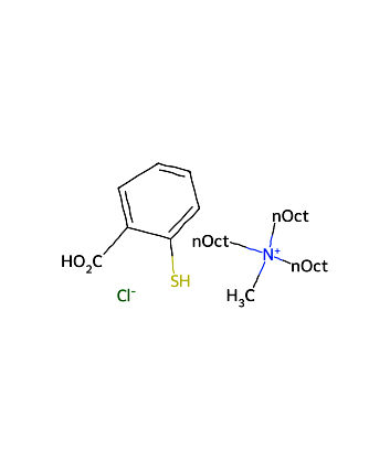 CCCCCCCC[N+](C)(CCCCCCCC)CCCCCCCC.O=C(O)c1ccccc1S.[Cl-]